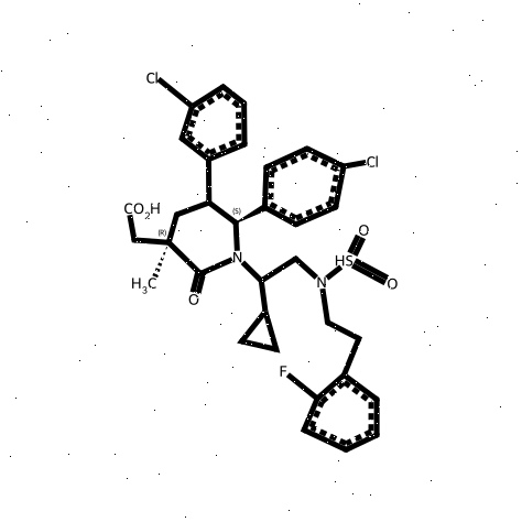 C[C@]1(CC(=O)O)CC(c2cccc(Cl)c2)[C@@H](c2ccc(Cl)cc2)N(C(CN(CCc2ccccc2F)[SH](=O)=O)C2CC2)C1=O